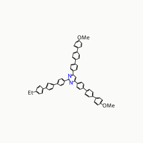 CCc1ccc(-c2ccc(-c3ccc(-c4nc(-c5ccc(-c6ccc(-c7ccc(OC)cc7)cc6)cc5)cc(-c5ccc(-c6ccc(-c7ccc(OC)cc7)cc6)cc5)n4)cc3)cc2)cc1